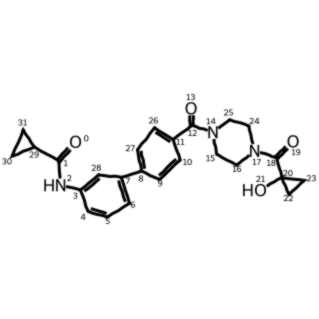 O=C(Nc1cccc(-c2ccc(C(=O)N3CCN(C(=O)C4(O)CC4)CC3)cc2)c1)C1CC1